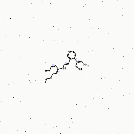 C=C/C=C\C(=C/COCC)N/C=C/c1cnccc1/C(C=N)=C/N